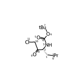 CC(C)C[C@@H](NC(=O)OC(C)(C)C)C(=O)CCl